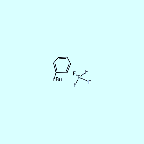 CCCCc1ccccc1.F[B-](F)(F)F